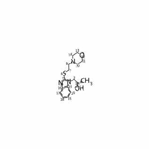 C[C@H](O)Cn1c(SCCN2CCOCC2)nc2ccccc21